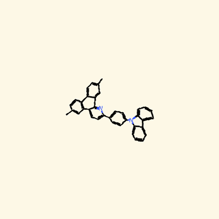 Cc1ccc2c(c1)c1ccc(-c3ccc(-n4c5ccccc5c5ccccc54)cc3)nc1c1cc(C)ccc21